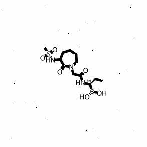 CC[C@H](NC(=O)CN1CCCCC(NS(C)(=O)=O)C1=O)B(O)O